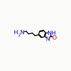 NCCCCc1ccc2c(c1)[N]C(=O)N2